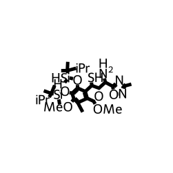 COC(=O)c1c(C)c(OC)c(O[SiH](C)C(C)(C)C(C)C)c(O[SiH](C)C(C)(C)C(C)C)c1C(S)CC(N)c1nc(C)no1